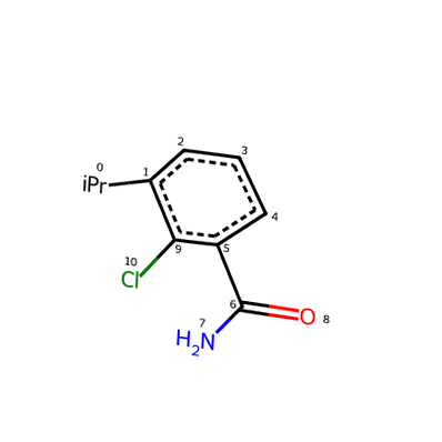 CC(C)c1cccc(C(N)=O)c1Cl